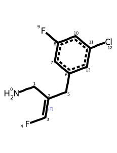 NC/C(=C\F)Cc1cc(F)cc(Cl)c1